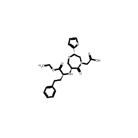 CCOC(=O)[C@H](CCc1ccccc1)N[C@H]1CS[C@H](c2cccs2)CN(CC(=O)O)C1=O